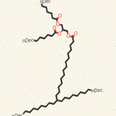 CCCCCCCCCCCCCCCCCCC(CCCCCCCCCCCCCCCCCC)CCCCCCCCCCCCCCC(=O)OCC(COC(=O)CCCCCCCCCCCCCCC)OC(=O)CCCCCCCCCCCCCCC